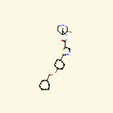 O=C(N[C@H]1CN2CCC1CC2)c1cnc(-c2ccc(OCc3ccccc3)cc2)s1